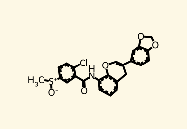 C[S+]([O-])c1ccc(Cl)c(C(=O)Nc2cccc3c2OC=C(c2ccc4c(c2)OCO4)C3)c1